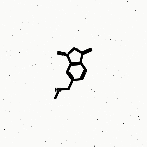 C=C1CC(=C)c2cc(CNC)ccc21